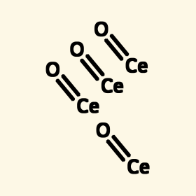 [O]=[Ce].[O]=[Ce].[O]=[Ce].[O]=[Ce]